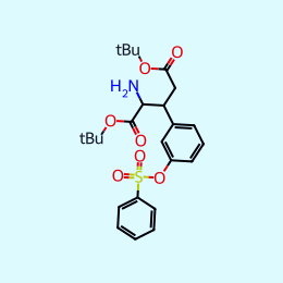 CC(C)(C)OC(=O)CC(c1cccc(OS(=O)(=O)c2ccccc2)c1)C(N)C(=O)OC(C)(C)C